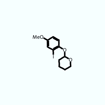 COc1ccc(OC2CCCCO2)c(I)c1